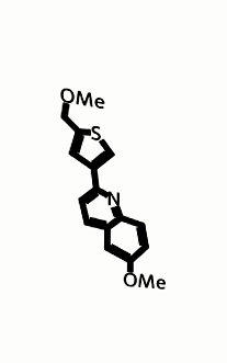 COCc1cc(-c2ccc3cc(OC)ccc3n2)cs1